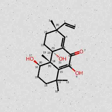 C=C[C@]1(C)C=C2C(=O)C(O)=C3C(C)(C)CC[C@@H](O)[C@]3(C)[C@@]2(O)CC1